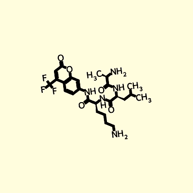 CC(C)C[C@H](NC(=O)[C@@H](C)N)C(=O)N[C@@H](CCCCN)C(=O)Nc1ccc2c(C(F)(F)F)cc(=O)oc2c1